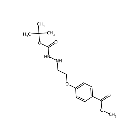 COC(=O)c1ccc(OCCNNC(=O)OC(C)(C)C)cc1